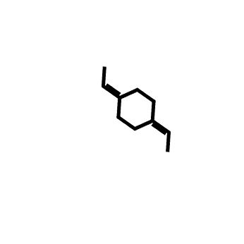 CC=C1CCC(=CC)CC1